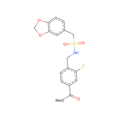 COC(=O)c1ccc(CNS(=O)(=O)Cc2ccc3c(c2)OCO3)c(F)c1